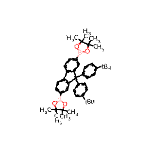 CC(C)(C)c1ccc(C2(c3ccc(C(C)(C)C)cc3)c3cc(B4OC(C)(C)C(C)(C)O4)ccc3-c3ccc(B4OC(C)(C)C(C)(C)O4)cc32)cc1